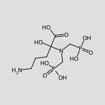 NCCCC(O)(C(=O)O)N(CP(=O)(O)O)CP(=O)(O)O